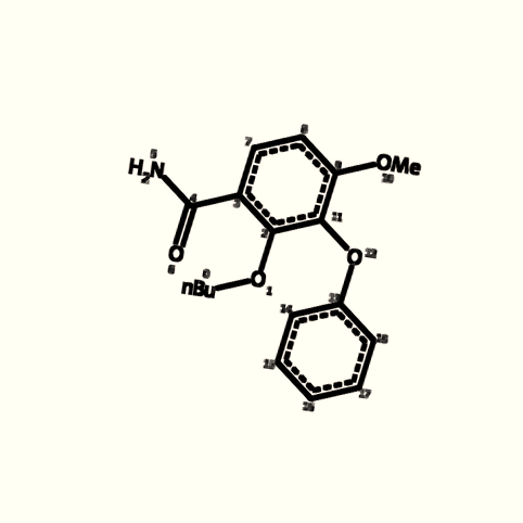 CCCCOc1c(C(N)=O)ccc(OC)c1Oc1ccccc1